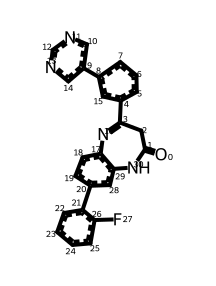 O=C1CC(c2cccc(-c3cncnc3)c2)=Nc2ccc(-c3ccccc3F)cc2N1